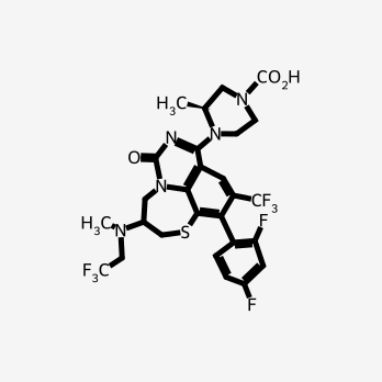 C[C@H]1CN(C(=O)O)CCN1c1nc(=O)n2c3c(c(-c4ccc(F)cc4F)c(C(F)(F)F)cc13)SCC(N(C)CC(F)(F)F)C2